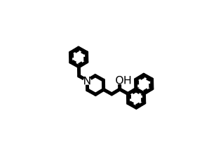 OC(CC1CCN(Cc2ccccc2)CC1)c1cccc2ccccc12